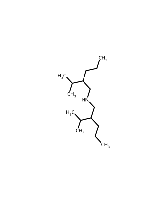 CCCC(CNCC(CCC)C(C)C)C(C)C